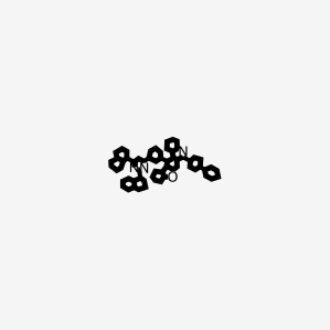 c1ccc(-c2ccc(-c3nc4ccccc4c4c(-c5cccc(-c6cc(-c7cccc8ccccc78)nc(-c7cccc8ccccc78)n6)c5)c5c(cc34)oc3ccccc35)cc2)cc1